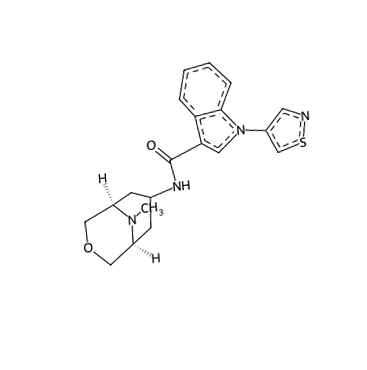 CN1[C@@H]2COC[C@H]1CC(NC(=O)c1cn(-c3cnsc3)c3ccccc13)C2